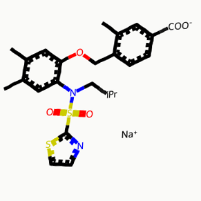 Cc1cc(OCc2ccc(C(=O)[O-])cc2C)c(N(CC(C)C)S(=O)(=O)c2nccs2)cc1C.[Na+]